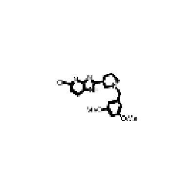 COc1cc(CN2CCCC(c3nc4nc(Cl)ccc4[nH]3)C2)cc(OC)c1